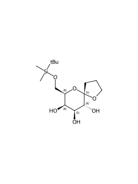 CC(C)(C)[Si](C)(C)OC[C@H]1O[C@@]2(CCCO2)[C@H](O)[C@@H](O)[C@H]1O